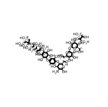 NCC(=O)O.N[C@@H]1[C@@H](O)[C@H](O)[C@@H](CO)O[C@H]1O.O=C(O)/C=C/C(=O)O.O=C(O)C(O)C(O)C(=O)O.O=C(O)CC(=O)O.O=C(O)CC(O)(CC(=O)O)C(=O)O.O=C(O)c1ccccc1.OC[C@H]1O[C@H](O[C@H]2O[C@H](CO)[C@@H](O)[C@H](O)[C@H]2O)[C@H](O)[C@@H](O)[C@@H]1O.O[C@H]1[C@H](O)[C@@H](O)[C@H](O)[C@@H](O)[C@H]1O